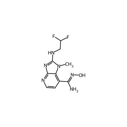 Cn1c(NCC(F)F)nc2nccc(C(N)=NO)c21